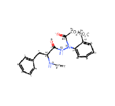 CCCCCN[C@@H](Cc1ccccc1)C(=O)NN(C(=O)C(=O)O)c1ccccc1C(=O)O